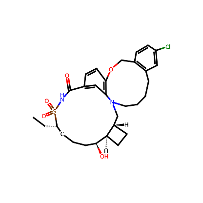 CC[C@H]1CCC[C@H](O)[C@@H]2CC[C@H]2CN2CCCCc3cc(Cl)ccc3COc3ccc(cc32)C(=O)NS1(=O)=O